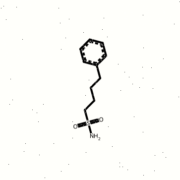 NS(=O)(=O)CCCCc1ccccc1